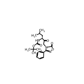 CC(C)C[C@H](NC(=O)OC(C)(C)C)C(=O)Cn1c(-c2ccccc2)noc1=O